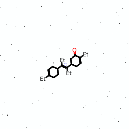 CCC1=CCC(/C(CC)=C(\CC)C2CC=C(CC)C(=O)C2)CC1